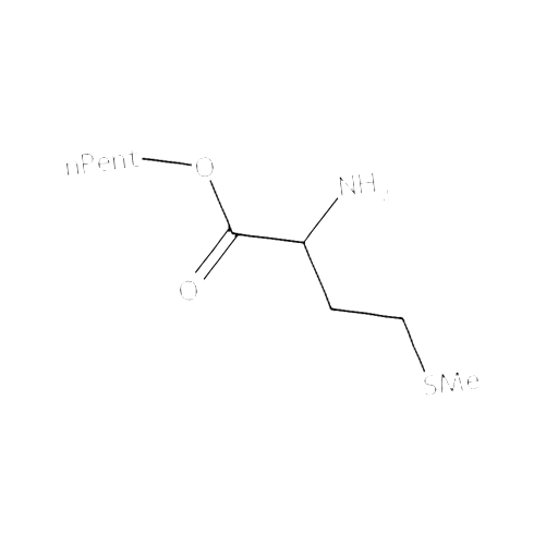 CCCCCOC(=O)C(N)CCSC